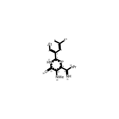 CC/C=C(\C=C(/C)F)c1nc(C(=N)CCC)c(NC)c(=O)[nH]1